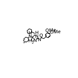 COc1ccc(CC(=O)N=C(N)N[C@H](CC2CCCCC2)C(=O)NC2CCSCC2)cc1OC